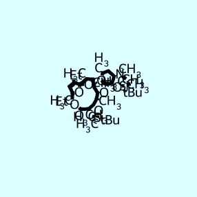 CCC1=CC2(C)OC13O[C@](C)(C[C@H]3C)[C@H](O[C@@H]1O[C@H](C)C[C@H](N(C)C)[C@H]1O[Si](C)(C)C(C)(C)C)[C@@H](C)[C@H](O[Si](C)(C)C(C)(C)C)[C@@H](C)C(=O)O[C@@H]2CC